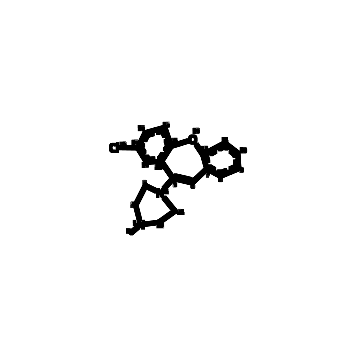 CN1CCN(C2=Cc3ccccc3Oc3ccc(Cl)cc32)CC1